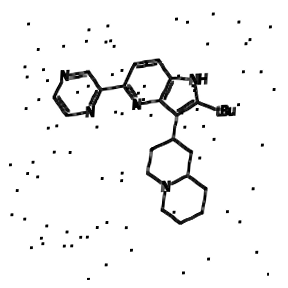 CC(C)(C)c1[nH]c2ccc(-c3cnccn3)nc2c1C1CCN2CCCCC2C1